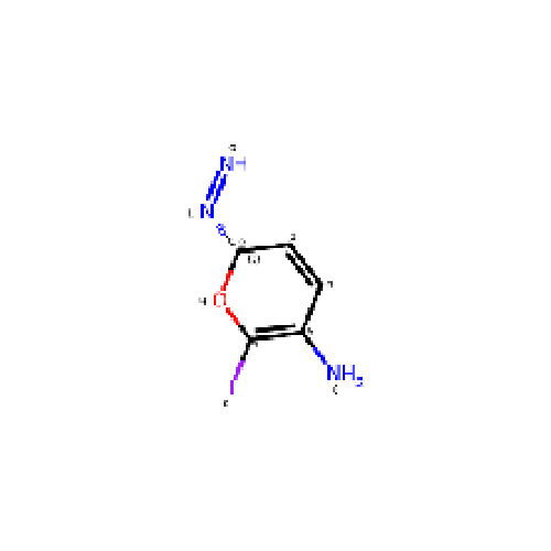 N=N[C@@H]1C=CC(N)=C(I)O1